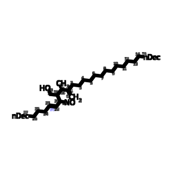 C=C(CCCCCCCCCCCCCCCCCCCCCCC)[C@H](C)C(CO)C(/C=C/CCCCCCCCCCCCC)N=O